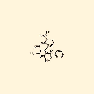 CC1=C(C(=O)O)C(c2cccc([N+](=O)[O-])c2)N(S(=O)(=O)c2ccccc2)C(N)=N1